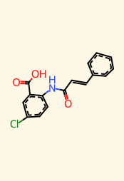 O=C(/C=C/c1ccccc1)Nc1ccc(Cl)cc1C(=O)O